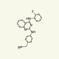 N#CCc1ccc(Nc2nc(Nc3ccccc3F)c3ccccc3n2)cc1